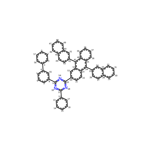 c1ccc(-c2cccc(-c3nc(-c4ccccc4)nc(-c4ccc5c(-c6ccc7ccccc7c6)c6ccccc6c(-c6ccc7ccccc7c6)c5c4)n3)c2)cc1